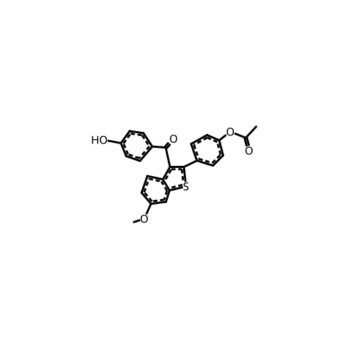 COc1ccc2c(C(=O)c3ccc(O)cc3)c(-c3ccc(OC(C)=O)cc3)sc2c1